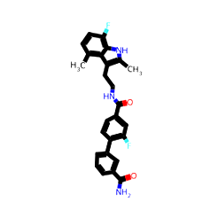 Cc1[nH]c2c(F)ccc(C)c2c1CCNC(=O)c1ccc(-c2cccc(C(N)=O)c2)c(F)c1